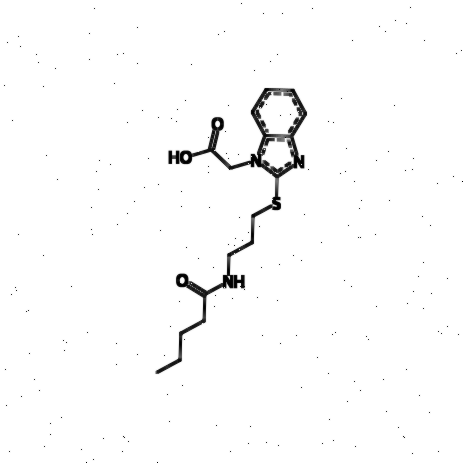 CCCCC(=O)NCCCSc1nc2ccccc2n1CC(=O)O